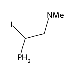 CNCC(P)I